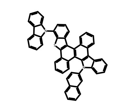 c1ccc2cc(-n3c4ccccc4c4c5ccccc5c5c6c7cccc(-n8c9ccccc9c9ccccc98)c7sc6c6ccccc6c5c43)ccc2c1